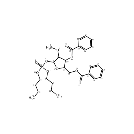 BOC1C(OP(=O)(OCCCC)OCCCC)OC(COC(=O)c2ccccc2)C1OC(=O)c1ccccc1